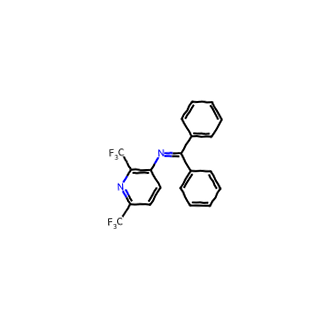 FC(F)(F)c1ccc(N=C(c2ccccc2)c2ccccc2)c(C(F)(F)F)n1